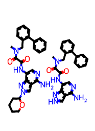 CN(Cc1ccccc1-c1ccccc1)C(=O)C(=O)Nc1cnc(N)c2c[nH]nc12.CN(Cc1ccccc1-c1ccccc1)C(=O)C(=O)Nc1cnc(N)c2cn(C3CCCCO3)nc12